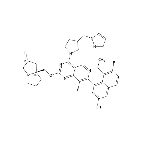 CCc1c(F)ccc2cc(O)cc(-c3ncc4c(N5CCC(Cn6cccn6)C5)nc(OC[C@@]56CCCN5C[C@H](F)C6)nc4c3F)c12